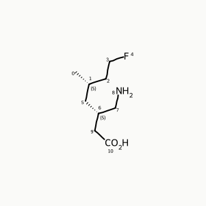 C[C@H](CCF)C[C@H](CN)CC(=O)O